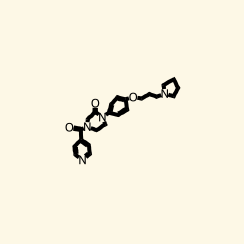 O=C(c1ccncc1)N1CCN(c2ccc(OCCCN3CCCC3)cc2)C(=O)C1